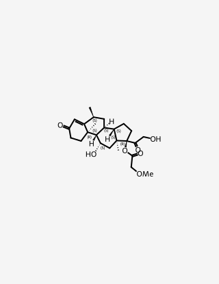 COCC(=O)O[C@]1(C(=O)CO)CC[C@H]2[C@@H]3C[C@H](C)C4=CC(=O)CC[C@]4(C)[C@H]3[C@@H](O)C[C@@]21C